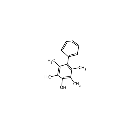 Cc1c(C)c(-c2ccccc2)c(C)c(C)c1O